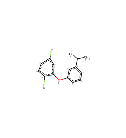 CC(C)c1cccc(Oc2cc(F)ccc2F)c1